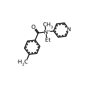 [CH2]c1ccc(C(=O)[N+](C)(CC)c2ccncc2)cc1